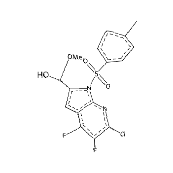 COC(O)c1cc2c(F)c(F)c(Cl)nc2n1S(=O)(=O)c1ccc(C)cc1